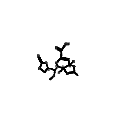 COC([C@H]1COC(=O)O1)[C@@H]1OC(C(=O)O)=C[C@H]2OC(C)=N[C@@H]21